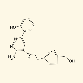 Nc1nnc(-c2ccccc2O)cc1NCCc1ccc(CO)cc1